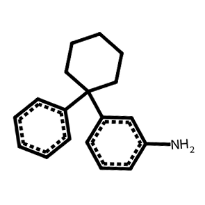 Nc1cccc(C2(c3ccccc3)CCCCC2)c1